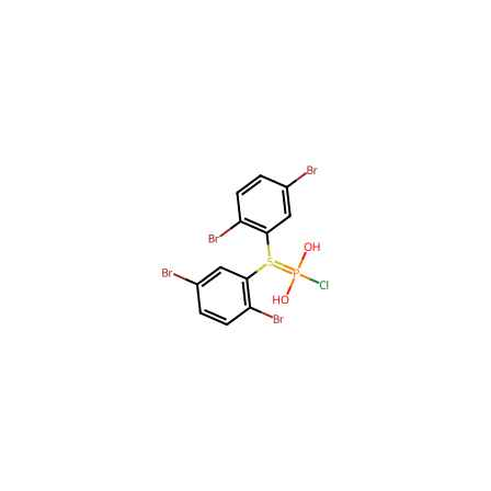 OP(O)(Cl)=S(c1cc(Br)ccc1Br)c1cc(Br)ccc1Br